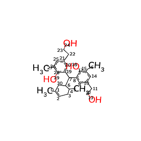 CC1=CCC(C)C(C(c2cc(CCO)cc(C)c2O)c2cc(CCO)cc(C)c2O)C1